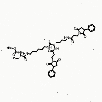 CC(C)(C)OC(=O)N[C@@H](CS)C(=O)NCCCCCCNC(=O)[C@H](CCCCNC(=O)CCN1C(=O)CC(c2ccccc2)C1=O)NC(=O)CCN1C(=O)CC(c2ccccc2)C1=O